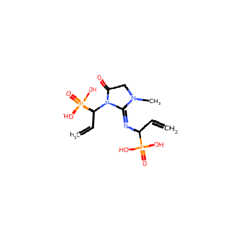 C=CC(N=C1N(C)CC(=O)N1C(C=C)P(=O)(O)O)P(=O)(O)O